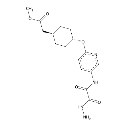 COC(=O)C[C@H]1CC[C@H](Oc2ccc(NC(=O)C(=O)NN)cn2)CC1